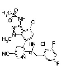 Cn1nc(NS(C)(=O)=O)c2c(Cl)ccc(-c3cc(C#N)cnc3[C@H](Cc3cc(F)cc(F)c3)NCl)c21